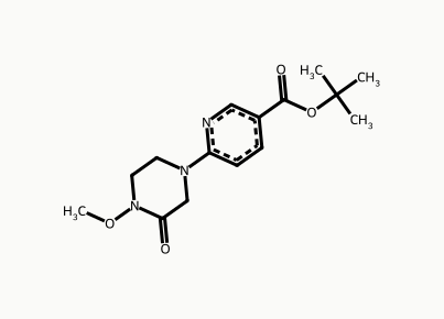 CON1CCN(c2ccc(C(=O)OC(C)(C)C)cn2)CC1=O